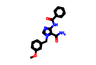 COc1cccc(Cn2cnc(NC(=O)c3ccccc3)c2C(N)=O)c1